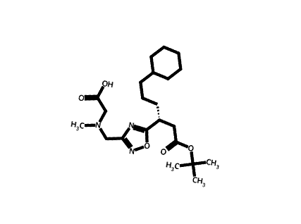 CN(CC(=O)O)Cc1noc([C@H](CCCC2CCCCC2)CC(=O)OC(C)(C)C)n1